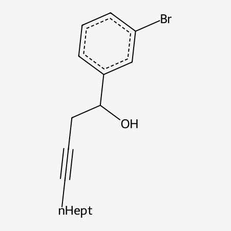 CCCCCCCC#CCC(O)c1cccc(Br)c1